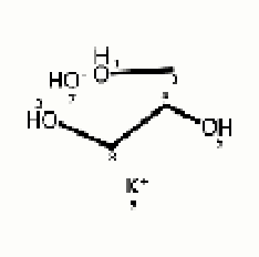 CO.OCCO.[K+].[OH-]